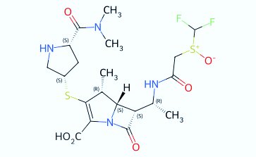 C[C@@H](NC(=O)C[S+]([O-])C(F)F)[C@@H]1C(=O)N2C(C(=O)O)=C(S[C@@H]3CN[C@H](C(=O)N(C)C)C3)[C@H](C)[C@H]12